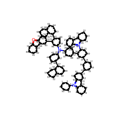 c1ccc(-n2c3ccccc3c3cc(-c4cccc(-c5ccc(-n6c7ccccc7c7ccccc76)c(-c6ccc(N(c7cccc(-c8cccc9ccccc89)c7)c7ccc(-c8cccc9ccccc89)c(-c8ccc9oc%10ccccc%10c9c8)c7)cc6)c5)c4)ccc32)cc1